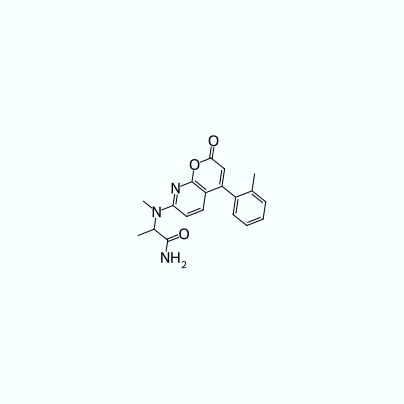 Cc1ccccc1-c1cc(=O)oc2nc(N(C)C(C)C(N)=O)ccc12